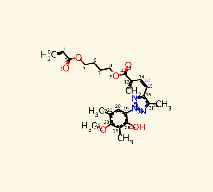 C=CC(=O)OCCCCOC(=O)C(=C)/C=C\c1nn(-c2cc(C)c(OC)c(C)c2O)nc1C